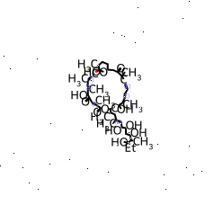 CCC(O)C(C)C(O)CC(O)C(O)/C=C(\C)CC(C)C1CC(O)C(C)/C=C/C=C/CC(C)C(=O)CC2CCC(C)C(O)(C/C=C(C)\C=C(/C)C(O)C(=O)/C=C(\C)C(=O)O1)O2